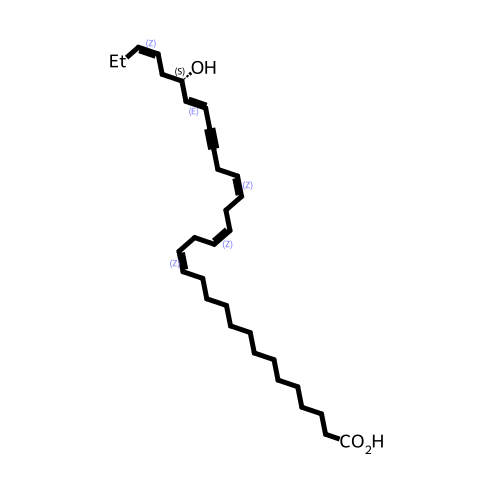 CC/C=C\C[C@H](O)/C=C/C#CC/C=C\C/C=C\C/C=C\CCCCCCCCCCCCC(=O)O